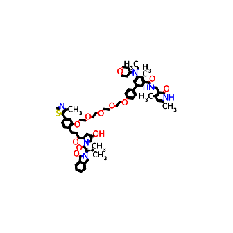 CCN(c1cc(-c2ccc(OCCOCCOCCOCCOc3cc(-c4scnc4C)ccc3CCC(=O)C3C[C@@H](O)CN3C(=O)[C@H](C(C)C)N3Cc4ccccc4C3=O)cc2)cc(C(=O)NCc2c(C)cc(C)[nH]c2=O)c1C)C1CCOCC1